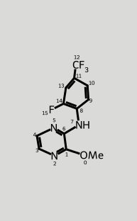 COc1nccnc1Nc1ccc(C(F)(F)F)cc1F